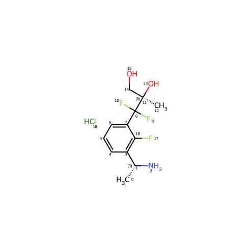 C[C@@H](N)c1cccc(C(F)(F)[C@](C)(O)CO)c1F.Cl